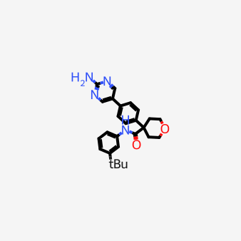 CC(C)(C)c1cccc(NC(=O)C2(c3ccc(-c4cnc(N)nc4)cc3)CCOCC2)c1